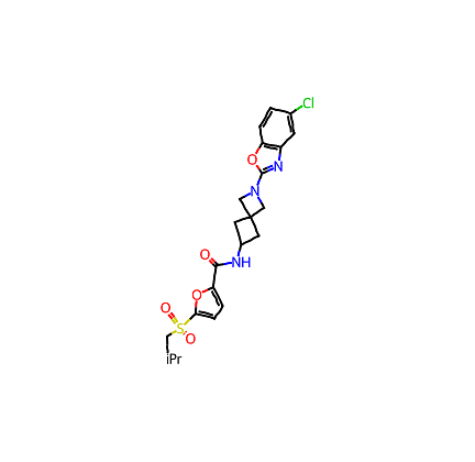 CC(C)CS(=O)(=O)c1ccc(C(=O)NC2CC3(C2)CN(c2nc4cc(Cl)ccc4o2)C3)o1